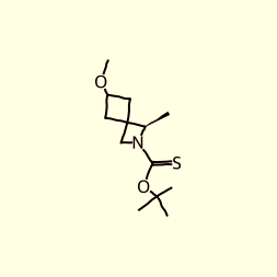 COC1CC2(C1)CN(C(=S)OC(C)(C)C)[C@@H]2C